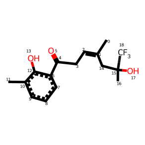 C/C(=C/CC(=O)c1cccc(C)c1O)CC(C)(O)C(F)(F)F